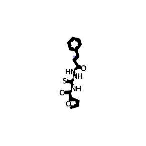 O=C(/C=C/c1ccccc1)NNC(=S)NC(=O)c1ccco1